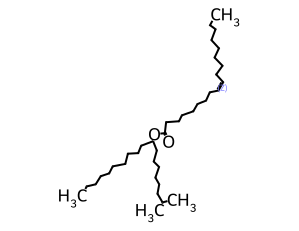 CCCCCCCC/C=C\CCCCCCCC(=O)OC(CCCCCCCCCC)CCCCCCC(C)C